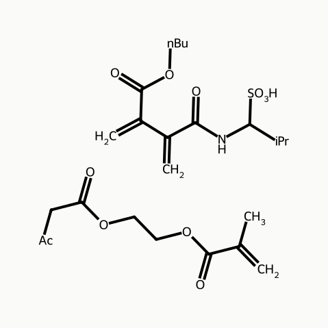 C=C(C(=C)C(=O)OCCCC)C(=O)NC(C(C)C)S(=O)(=O)O.C=C(C)C(=O)OCCOC(=O)CC(C)=O